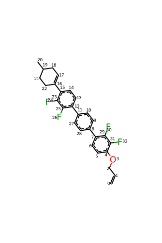 C=CCOc1ccc(-c2ccc(-c3ccc(C4=CCC(C)CC4)c(F)c3F)cc2)c(F)c1F